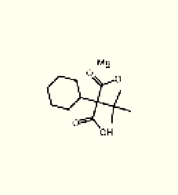 CC(C)(C)C(C(=O)O)(C(=O)O)C1CCCCC1.[Mg]